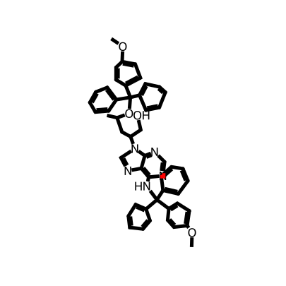 COc1ccc(C(Nc2ncnc3c2ncn3C(CO)CC(C)OC(c2ccccc2)(c2ccccc2)c2ccc(OC)cc2)(c2ccccc2)c2ccccc2)cc1